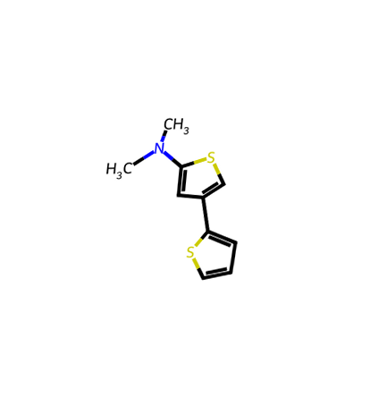 CN(C)c1cc(-c2cccs2)cs1